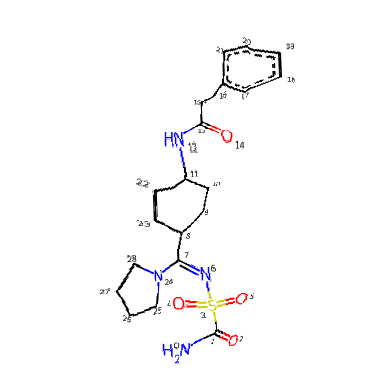 NC(=O)S(=O)(=O)N=C(C1CCC(NC(=O)[CH]c2ccccc2)CC1)N1CCCC1